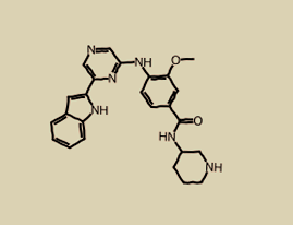 COc1cc(C(=O)NC2CCCNC2)ccc1Nc1cncc(-c2cc3ccccc3[nH]2)n1